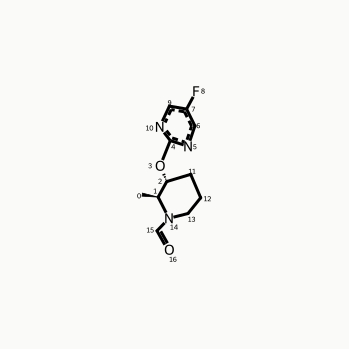 C[C@H]1[C@H](Oc2ncc(F)cn2)CCCN1C=O